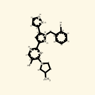 CC1CCN(c2nc(-c3cc(-c4ccon4)n(Cc4ccccc4F)n3)ncc2F)C1